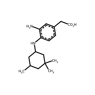 CC1CC(Nc2ccc(CC(=O)O)cc2N)CC(C)(C)C1